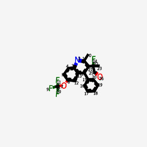 Cc1nc2ccc(OC(F)(F)F)cc2c(-c2ccccc2)c1C(C)(F)C=O